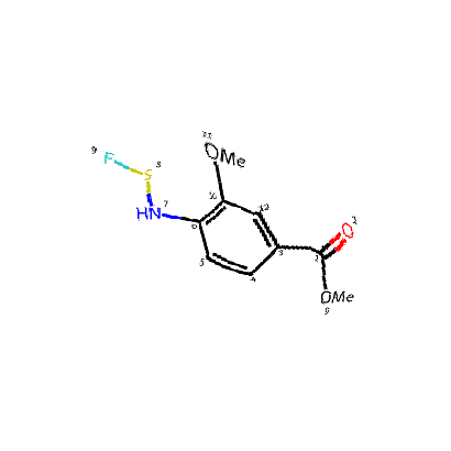 COC(=O)c1ccc(NSF)c(OC)c1